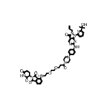 C=CCn1c(=O)c2cnc(Nc3ccc(N4CCN(C(=O)CCOCCOCCNc5cccc6c5C(=O)N(C5CCC(=O)NC5=O)C6=O)CC4)cc3)nc2n1-c1cccc(C(C)(C)O)n1